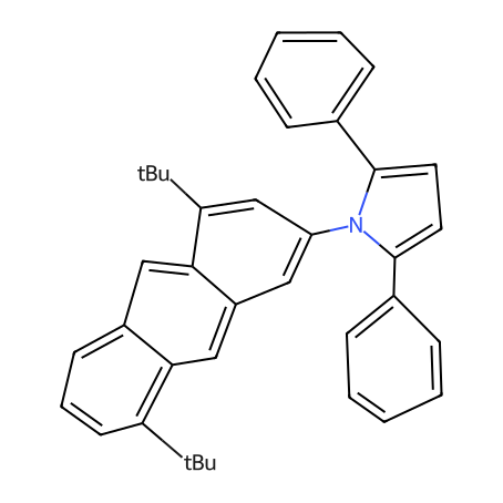 CC(C)(C)c1cccc2cc3c(C(C)(C)C)cc(-n4c(-c5ccccc5)ccc4-c4ccccc4)cc3cc12